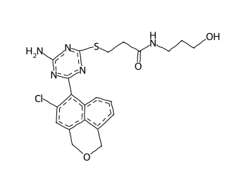 Nc1nc(SCCC(=O)NCCCO)nc(-c2c(Cl)cc3c4c(cccc24)COC3)n1